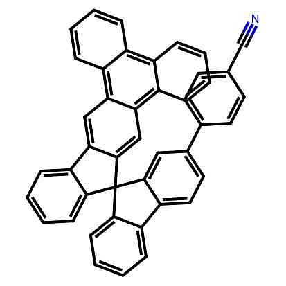 N#Cc1ccc(-c2ccc3c(c2)C2(c4ccccc4-3)c3ccccc3-c3cc4c5ccccc5c5ccccc5c4cc32)cc1